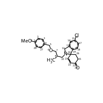 COc1ccc(COC[C@H](C)CN2Cc3cc(Cl)ccc3C23C=CC(=O)CC3)cc1